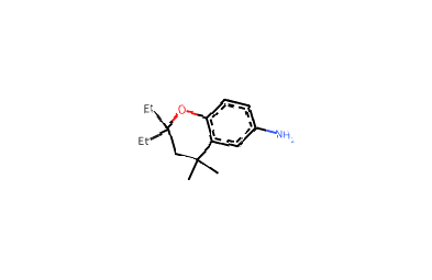 CCC1(CC)CC(C)(C)c2cc(N)ccc2O1